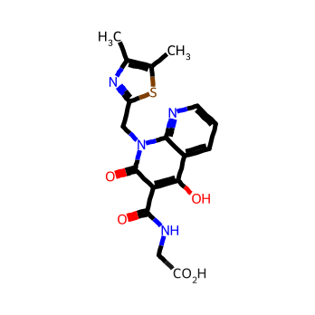 Cc1nc(Cn2c(=O)c(C(=O)NCC(=O)O)c(O)c3cccnc32)sc1C